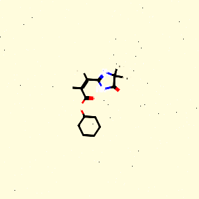 CCCCC1(CCC)N=C(/C(CCC)=C(/CC)C(=O)OC2CCCCC2)NC1=O